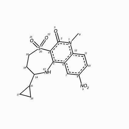 Cn1c(=O)c2c(c3cc([N+](=O)[O-])ccc31)NC(C1CC1)CCS2(=O)=O